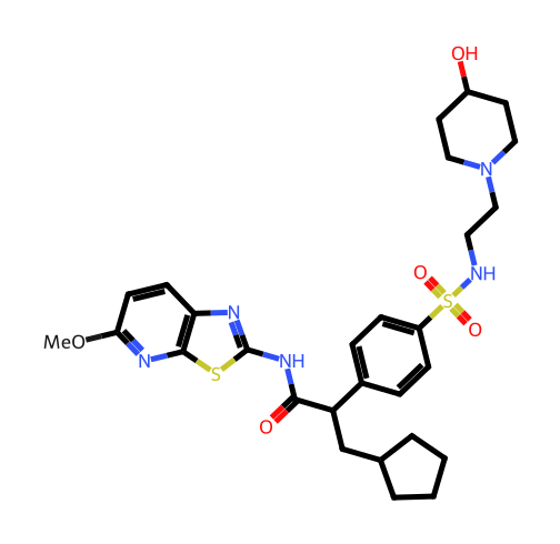 COc1ccc2nc(NC(=O)C(CC3CCCC3)c3ccc(S(=O)(=O)NCCN4CCC(O)CC4)cc3)sc2n1